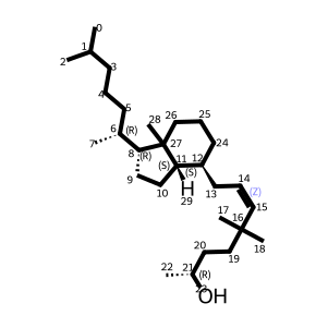 CC(C)CCC[C@@H](C)[C@H]1CC[C@H]2[C@H](C/C=C\C(C)(C)CC[C@@H](C)O)CCCC12C